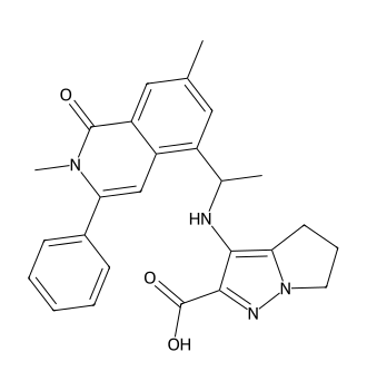 Cc1cc(C(C)Nc2c(C(=O)O)nn3c2CCC3)c2cc(-c3ccccc3)n(C)c(=O)c2c1